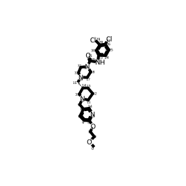 COCCOc1ccc(CN2CCC[C@@H](CN3CCN(C(=O)Nc4ccc(Cl)c(Cl)c4)CC3)C2)cn1